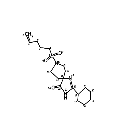 C=CCCCS(=O)(=O)N1CCC2(CC1)N=C(C1CCCCC1)NC2=O